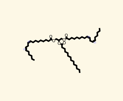 CCCCC/C=C\C/C=C\CCCCCCCC(=O)OCC(COC(=O)CCCCCCC/C=C\C/C=C\CCCCC)OC(=O)CCCCCCCCCCCCC